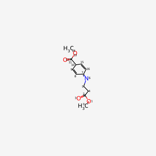 COC(=O)CCN=C1C=CC(C(=O)OC)C=C1